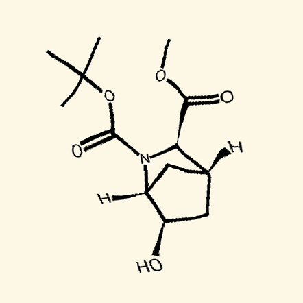 COC(=O)[C@H]1[C@@H]2C[C@@H](O)[C@@H](C2)N1C(=O)OC(C)(C)C